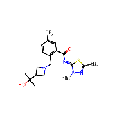 CCCCn1nc(C(C)(C)C)sc1=NC(=O)c1cc(C(F)(F)F)ccc1CN1CC(C(C)(C)O)C1